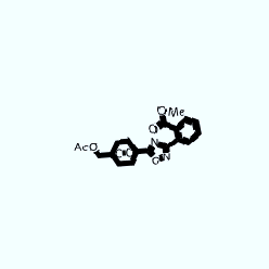 COC(=O)c1ccccc1-c1noc(C23CCC(COC(C)=O)(CC2)CO3)n1